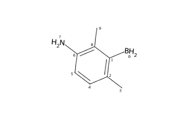 Bc1c(C)ccc(N)c1C